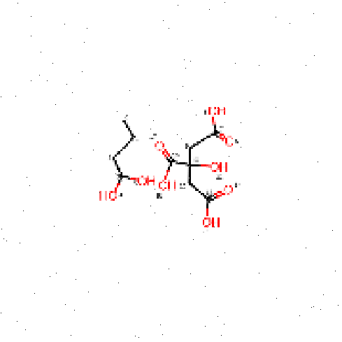 CCCC(O)O.O=C(O)CC(O)(CC(=O)O)C(=O)O